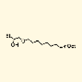 CCCCCCCCCCCCCCCCOC[C@@H](O)CC